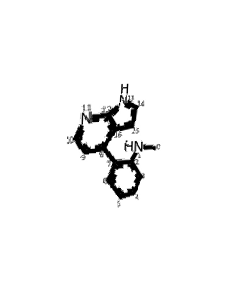 CNc1ccccc1-c1ccnc2[nH]ccc12